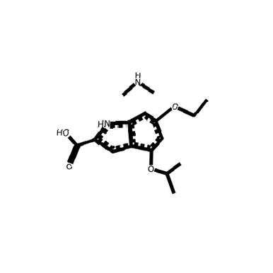 CCOc1cc(OC(C)C)c2cc(C(=O)O)[nH]c2c1.CNC